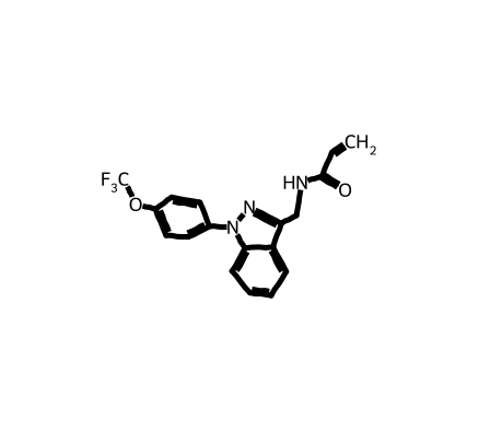 C=CC(=O)NCc1nn(-c2ccc(OC(F)(F)F)cc2)c2ccccc12